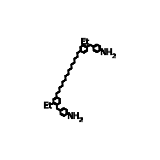 CCc1cc(CCCCCCCCCCCCCCCc2ccc(Cc3ccc(N)cc3)c(CC)c2)ccc1Cc1ccc(N)cc1